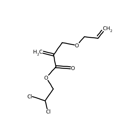 C=CCOCC(=C)C(=O)OCC(Cl)Cl